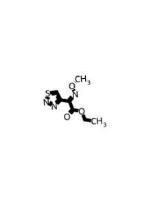 CCOC(=O)/C(=N/OC)c1csnn1